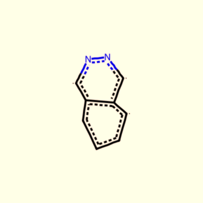 [c]1cccc2[c]nn[c]c12